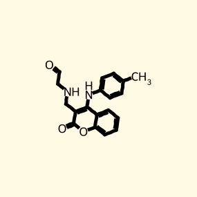 Cc1ccc(Nc2c(CNCC=O)c(=O)oc3ccccc23)cc1